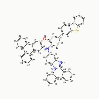 c1ccc2c(c1)sc1cc(-c3ccc4c(c3)Oc3cc5c6ccccc6c6ccccc6c5cc3N4c3ccc4c(c3)nc3c5ccccc5c5ccccc5n43)ccc12